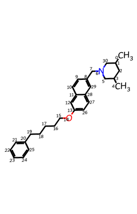 CC1CC(C)CN(Cc2ccc3cc(OCCCCCc4ccccc4)ccc3c2)C1